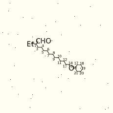 CCC([C]=O)CCCCCCCCCCCCOC1CC[CH]CC1